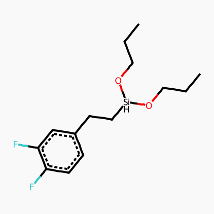 CCCO[SiH](CCc1ccc(F)c(F)c1)OCCC